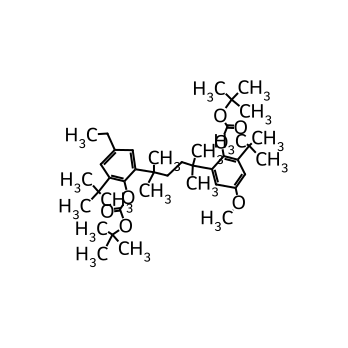 CCc1cc(C(C)(C)C)c(OC(=O)OC(C)(C)C)c(C(C)(C)CCC(C)(C)c2cc(OC)cc(C(C)(C)C)c2OC(=O)OC(C)(C)C)c1